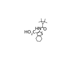 CC1(C)C(C(=O)Nc2sc3c(c2C(=O)O)CCCC3)C1(C)C